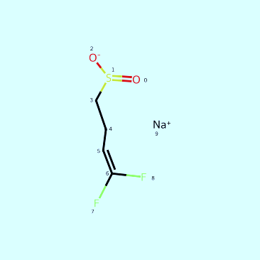 O=S([O-])CCC=C(F)F.[Na+]